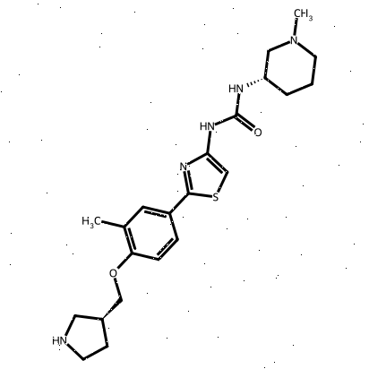 Cc1cc(-c2nc(NC(=O)N[C@H]3CCCN(C)C3)cs2)ccc1OC[C@H]1CCNC1